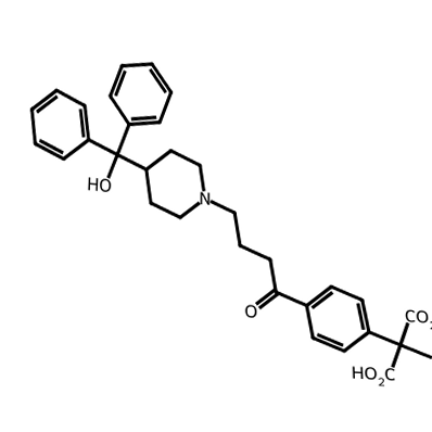 CC(C(=O)O)(C(=O)O)c1ccc(C(=O)CCCN2CCC(C(O)(c3ccccc3)c3ccccc3)CC2)cc1